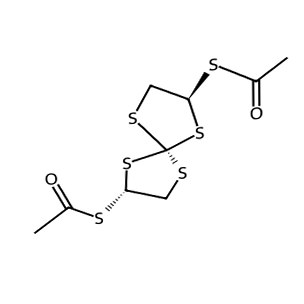 CC(=O)S[C@H]1CS[C@@]2(SC[C@@H](SC(C)=O)S2)S1